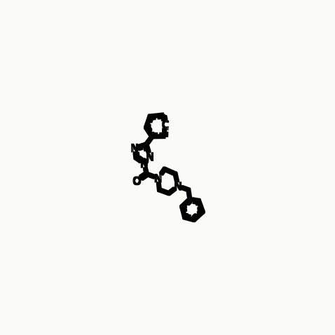 O=C(N1CCN(Cc2ccccc2)CC1)n1cnc(-c2ccccc2)n1